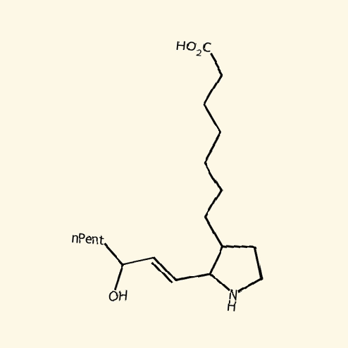 CCCCCC(O)C=CC1NCCC1CCCCCCC(=O)O